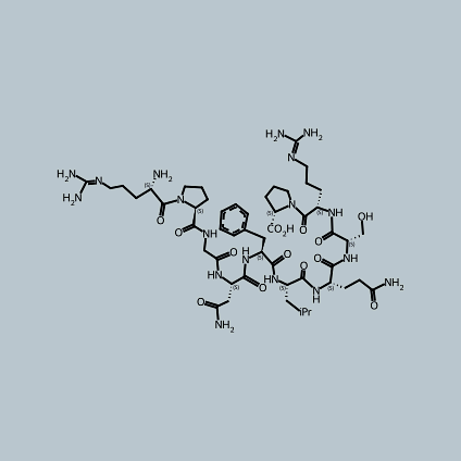 CC(C)C[C@H](NC(=O)[C@H](Cc1ccccc1)NC(=O)[C@H](CC(N)=O)NC(=O)CNC(=O)[C@@H]1CCCN1C(=O)[C@@H](N)CCCN=C(N)N)C(=O)N[C@@H](CCC(N)=O)C(=O)N[C@@H](CO)C(=O)N[C@@H](CCCN=C(N)N)C(=O)N1CCC[C@H]1C(=O)O